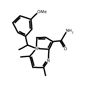 COc1cccc(C(C)[N+]23C=CC(C(N)=O)=C2N=C(C)C=C3C)c1